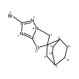 Brc1nc2n(n1)CC1(CC3CCC1CC3)O2